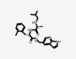 Cc1ccccc1C[C@H](NC(=O)[C@H](C)NCC(C)C)C(=O)NCc1cnc2[nH]ccc2c1